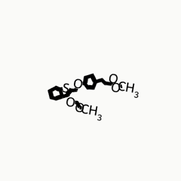 COCOc1c(COc2ccc(CCC(=O)OC)cc2)sc2ccccc12